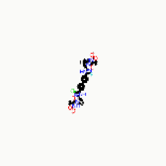 COC(=O)N[C@H](C(=O)N1C[Si](C)(C)C[C@H]1c1nc(Cl)c(-c2ccc(-c3ccc(-c4[nH]c([C@@H]5C[C@H]6C[C@H]6N5C(=O)[C@@H](NC(=O)OC)C(C)C)nc4F)cc3)cc2)[nH]1)C(C)C